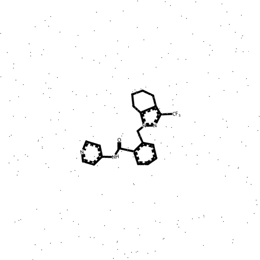 O=C(Nc1ccncc1)c1ccccc1Cn1nc(C(F)(F)F)c2c1CCCC2